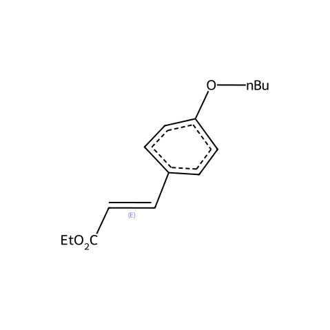 CCCCOc1ccc(/C=C/C(=O)OCC)cc1